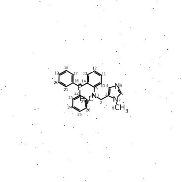 CN(Cc1cncn1C)c1ccccc1P(c1ccccc1)c1ccccc1